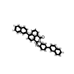 O=c1c2cccc3c(-c4ccc5ccccc5c4)ccc(c32)c2nc3ccc(-c4ccc5ccccc5c4)cc3n12